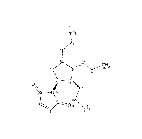 CCCC1C[C@H](N2C(=O)C=CC2=O)[C@H](CCC)[C@H]1CCC